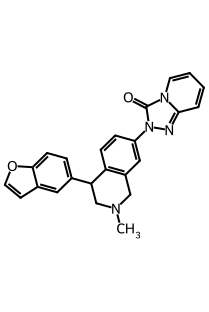 CN1Cc2cc(-n3nc4ccccn4c3=O)ccc2C(c2ccc3occc3c2)C1